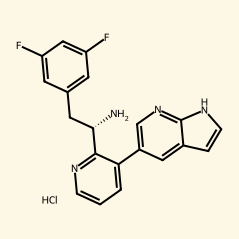 Cl.N[C@@H](Cc1cc(F)cc(F)c1)c1ncccc1-c1cnc2[nH]ccc2c1